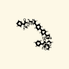 C[C@H](NC(=O)[C@@H](c1ccccc1)N(C)C)c1ncc(-c2ccc(-c3ccc(-c4cnc([C@@H]5COC6(CCOCC6)N5C(=O)[C@@H](c5ccccc5)N(C)C)[nH]4)cc3)cc2)[nH]1